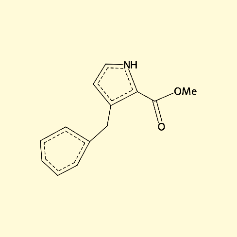 COC(=O)c1[nH]ccc1Cc1ccccc1